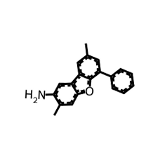 Cc1cc(-c2ccccc2)c2oc3cc(C)c(N)cc3c2c1